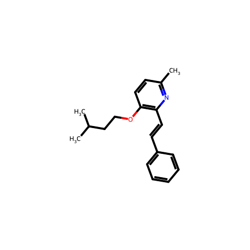 C[C](C)CCOc1ccc(C)nc1C=Cc1ccccc1